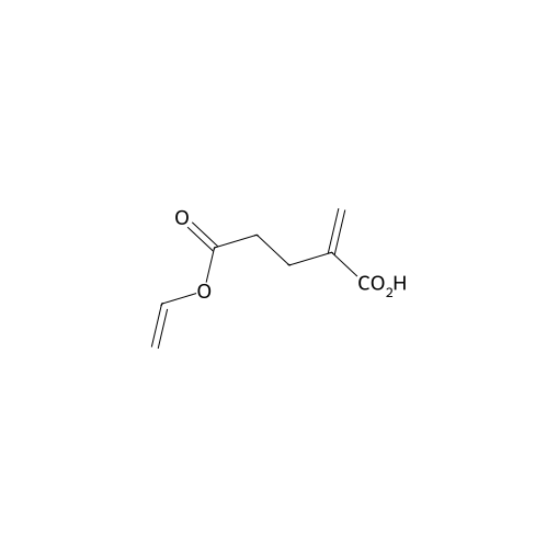 C=COC(=O)CCC(=C)C(=O)O